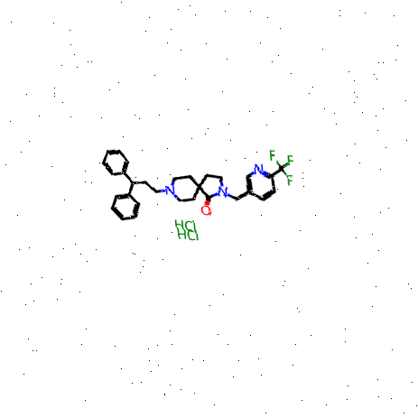 Cl.Cl.O=C1N(Cc2ccc(C(F)(F)F)nc2)CCC12CCN(CCC(c1ccccc1)c1ccccc1)CC2